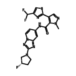 Cn1ncc(-c2nc(C(F)F)cs2)c1C(=O)Nc1ccn2nc(N3CC[C@H](F)C3)nc2c1